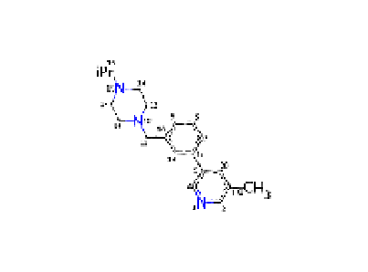 Cc1cncc(-c2cccc(CN3CCN(C(C)C)CC3)c2)c1